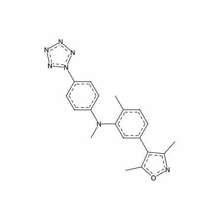 Cc1ccc(-c2c(C)noc2C)cc1N(C)c1ccc(-n2nnnn2)cc1